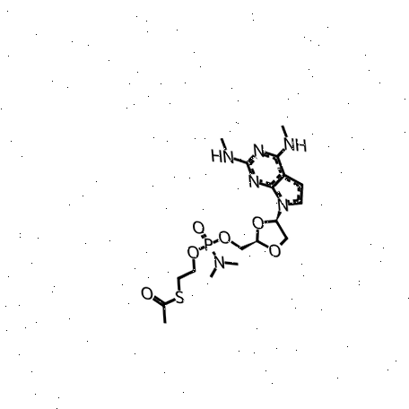 CNc1nc(NC)c2ccn([C@H]3CO[C@@H](COP(=O)(OCCSC(C)=O)N(C)C)O3)c2n1